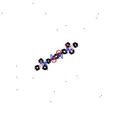 c1ccc(B2c3ccccc3N(c3ccc(-c4nc5cc6oc(-c7ccc(N8c9ccccc9B(c9ccccc9)c9ccccc98)cc7)nc6cc5o4)cc3)c3ccccc32)cc1